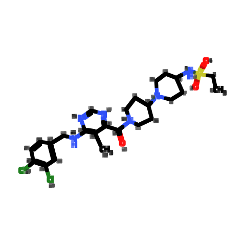 CCS(=O)(=O)NC1CCN(C2CCN(C(=O)c3ncnc(NCc4ccc(Cl)c(Cl)c4)c3C)CC2)CC1